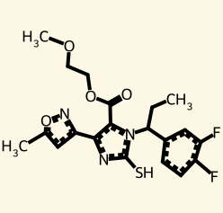 CCC(c1ccc(F)c(F)c1)n1c(S)nc(-c2cc(C)on2)c1C(=O)OCCOC